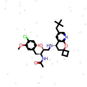 COc1cc(C[C@H](NC(C)=O)[C@@H](O)CN[C@H]2CC3(CCC3)Oc3ncc(CC(C)(C)C)cc32)ccc1Cl